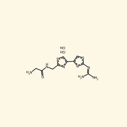 Cl.Cl.NCC(=O)NCc1nc(-c2csc(N=C(N)N)n2)cs1